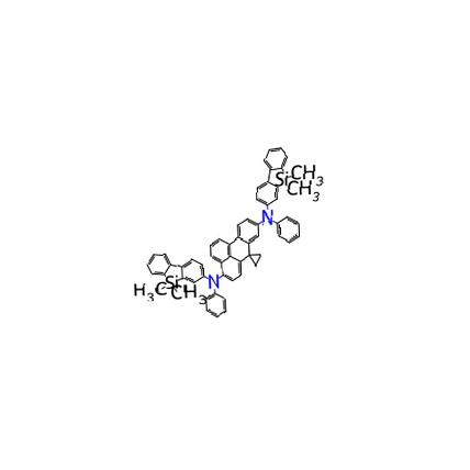 C[Si]1(C)c2ccccc2-c2ccc(N(c3ccccc3)c3ccc4c(c3)C3(CC3)c3ccc(N(c5ccccc5)c5ccc6c(c5)[Si](C)(C)c5ccccc5-6)c5cccc-4c35)cc21